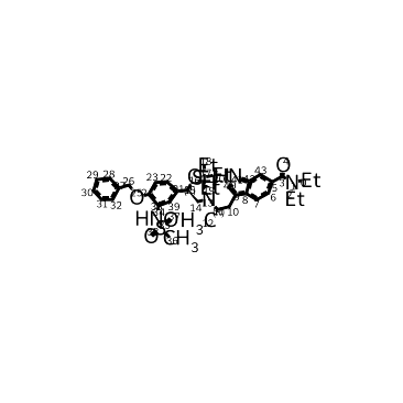 CCN(CC)C(=O)c1ccc2c(C[C@@H](C)NC[C@H](O[Si](CC)(CC)CC)c3ccc(OCc4ccccc4)c(NS(C)(=O)=O)c3)c[nH]c2c1